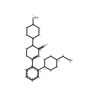 CCCCCCCCC1CCC(C2CCC(c3ccccc3C3CCC(CC(C)CC)CC3)=CC2=O)CC1